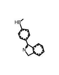 CBc1ccc(C2=NCc3ccccc32)cc1